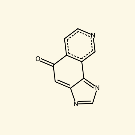 O=C1C=C2N=CN=C2c2cnccc21